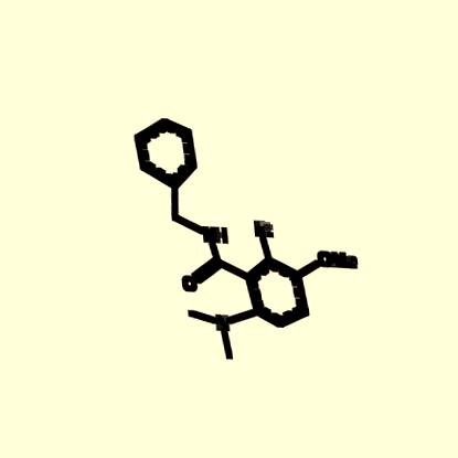 CCc1c(OC)ccc(N(C)C)c1C(=O)NCc1ccccc1